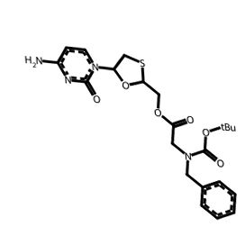 CC(C)(C)OC(=O)N(CC(=O)OCC1OC(n2ccc(N)nc2=O)CS1)Cc1ccccc1